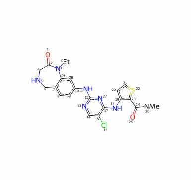 CCN1C(=O)CNCc2ccc(Nc3ncc(Cl)c(Nc4ccsc4C(=O)NC)n3)cc21